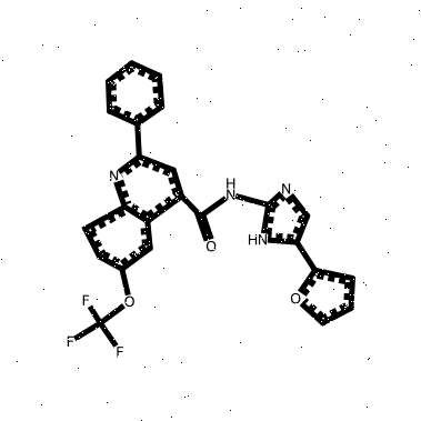 O=C(Nc1ncc(-c2ccco2)[nH]1)c1cc(-c2ccccc2)nc2ccc(OC(F)(F)F)cc12